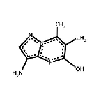 Cc1c(O)nc2c(N)cnn2c1C